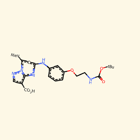 CNc1cc(Nc2cccc(OCCNC(=O)OC(C)(C)C)c2)nc2c(C(=O)O)cnn12